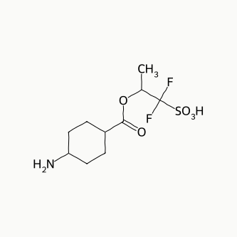 CC(OC(=O)C1CCC(N)CC1)C(F)(F)S(=O)(=O)O